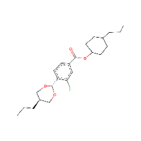 CCCC1CCC(OC(=O)c2ccc([C@H]3OC[C@H](CCC)CO3)c(F)c2)CC1